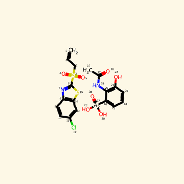 C=CCS(=O)(=O)c1nc2ccc(Cl)cc2s1.CC(=O)Nc1c(O)cccc1[As](=O)(O)O